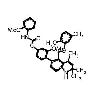 COc1ccccc1NC(=O)Oc1ccc(-c2ccc3c(c2COc2cc(C)ccc2C)C(C)=CC(C)(C)N3)c(OC)c1